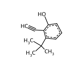 C#Cc1c(O)cccc1C(C)(C)C